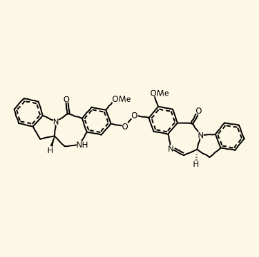 COc1cc2c(cc1OOc1cc3c(cc1OC)C(=O)N1c4ccccc4C[C@H]1CN3)N=C[C@@H]1Cc3ccccc3N1C2=O